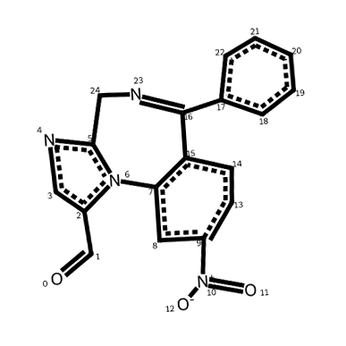 O=Cc1cnc2n1-c1cc([N+](=O)[O-])ccc1C(c1ccccc1)=NC2